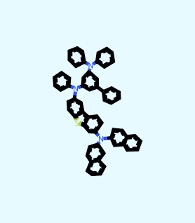 c1ccc(-c2cc(N(c3ccccc3)c3ccccc3)cc(N(c3ccccc3)c3ccc4sc5cc(N(c6ccc7ccccc7c6)c6ccc7ccccc7c6)ccc5c4c3)c2)cc1